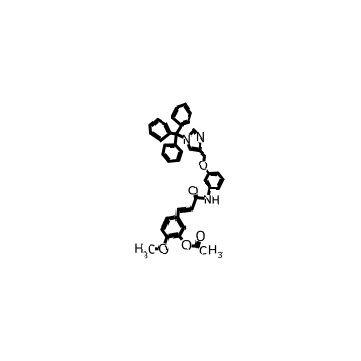 COc1ccc(/C=C/C(=O)Nc2cccc(OCc3cn(C(c4ccccc4)(c4ccccc4)c4ccccc4)cn3)c2)cc1OC(C)=O